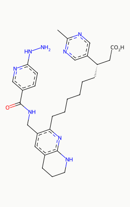 Cc1ncc([C@@H](CCCCCCc2nc3c(cc2CNC(=O)c2ccc(NN)nc2)CCCN3)CC(=O)O)cn1